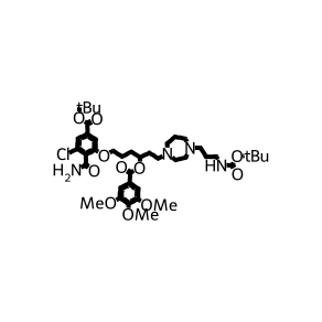 COc1cc(C(=O)OC(CCCOc2cc(C(=O)OC(C)(C)C)cc(Cl)c2C(N)=O)CCN2CCCN(CCCNC(=O)OC(C)(C)C)CC2)cc(OC)c1OC